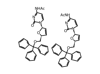 CC(=O)Nc1ccn([C@H]2C=C[C@@H](COC(c3ccccc3)(c3ccccc3)c3ccccc3)O2)c(=O)n1.CC(=O)Nc1ccn([C@H]2C=C[C@@H](COC(c3ccccc3)(c3ccccc3)c3ccccc3)O2)c(=O)n1